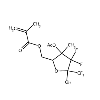 C=C(C)C(=O)OCC1OC(O)(C(F)(F)F)C(F)(F)C1(C)OC(C)=O